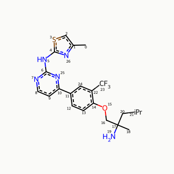 Cc1csc(Nc2nccc(-c3ccc(OCC(C)(N)CC(C)C)c(C(F)(F)F)c3)n2)n1